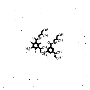 Nc1c(I)c(C(=O)NCC(O)CO)c(I)c(C(O)CO)c1I.Nc1cc(C(=O)NCC(O)CO)cc(C(O)CO)c1